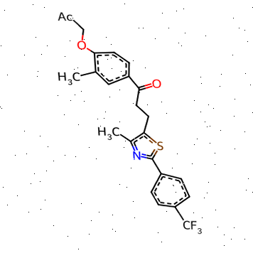 CC(=O)COc1ccc(C(=O)CCc2sc(-c3ccc(C(F)(F)F)cc3)nc2C)cc1C